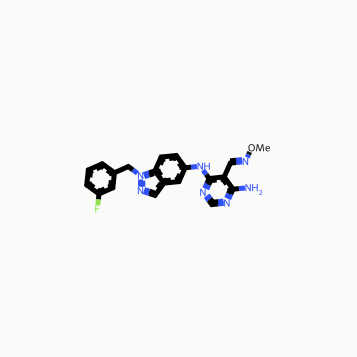 CON=Cc1c(N)ncnc1Nc1ccc2c(cnn2Cc2cccc(F)c2)c1